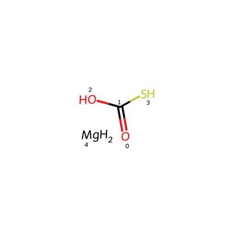 O=C(O)S.[MgH2]